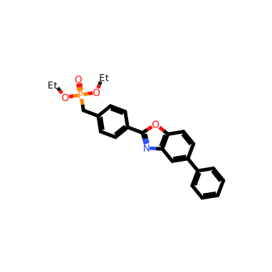 CCOP(=O)(Cc1ccc(-c2nc3cc(-c4ccccc4)ccc3o2)cc1)OCC